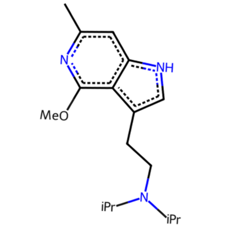 COc1nc(C)cc2[nH]cc(CCN(C(C)C)C(C)C)c12